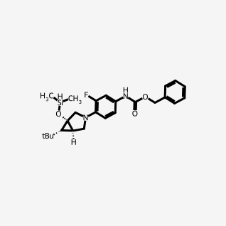 C[SiH](C)O[C@]12CN(c3ccc(NC(=O)OCc4ccccc4)cc3F)C[C@H]1[C@@H]2C(C)(C)C